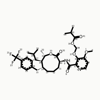 COc1ccnc(C(=O)N[C@H]2CCC[C@H](Cc3ccc(C(F)(F)F)cc3)[C@@H](CC(C)C)[C@H](C)OC2=O)c1OCOC(=O)C(C)C